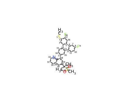 CSc1ccc(-c2cc(F)ccc2-c2cccc(-c3cc(C(C)(C)S(C)(=O)=O)cc4cccnc34)c2)cc1F